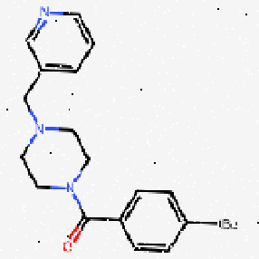 CC(C)(C)c1ccc(C(=O)N2CCN(Cc3cccnc3)CC2)cc1